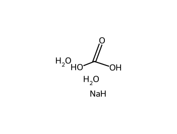 O.O.O=C(O)O.[NaH]